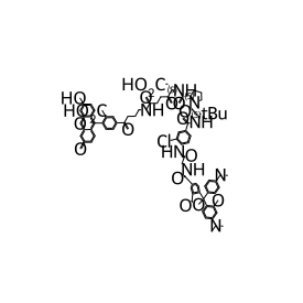 CN(C)c1ccc2c(c1)Oc1cc(N(C)C)ccc1C21OC(=O)c2cc(C(=O)NCC(=O)Nc3ccc(C(=O)N[C@H](C(=O)N4CCC[C@H]4C(=O)N[C@@H](CC(=O)O)C(=O)CCC(=O)NCCCC(=O)c4ccc(-c5c6ccc(=O)cc-6oc6cc(O)ccc56)c(C(=O)O)c4)C(C)(C)C)cc3Cl)ccc21